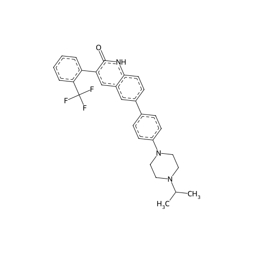 CC(C)N1CCN(c2ccc(-c3ccc4[nH]c(=O)c(-c5ccccc5C(F)(F)F)cc4c3)cc2)CC1